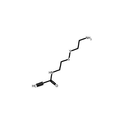 C#CC(=O)NCCSSCCN